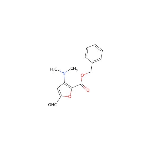 CN(C)c1cc(C=O)oc1C(=O)OCc1ccccc1